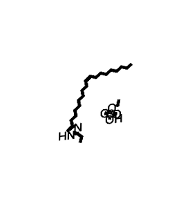 CCCCCCCC/C=C\CCCCCCCCc1c[nH]c(CC)n1.CCOS(=O)(=O)O